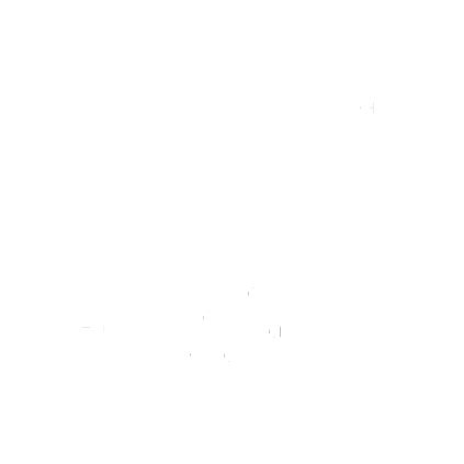 CC(=C=CCCC=CCC=CCO)C(=O)OC(O)CCCO